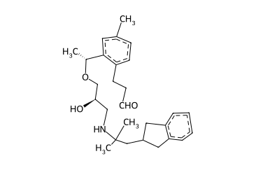 Cc1ccc(CCC=O)c([C@@H](C)OC[C@H](O)CNC(C)(C)CC2Cc3ccccc3C2)c1